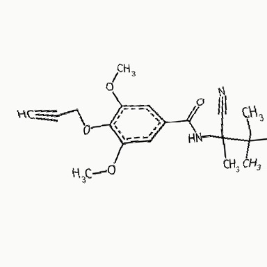 C#CCOc1c(OC)cc(C(=O)NC(C)(C#N)C(C)(C)I)cc1OC